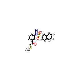 CC(=O)SCC(=O)c1cccc(NS(=O)(=O)c2ccc3ccccc3c2)c1